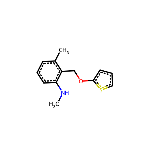 CNc1cccc(C)c1COc1cccs1